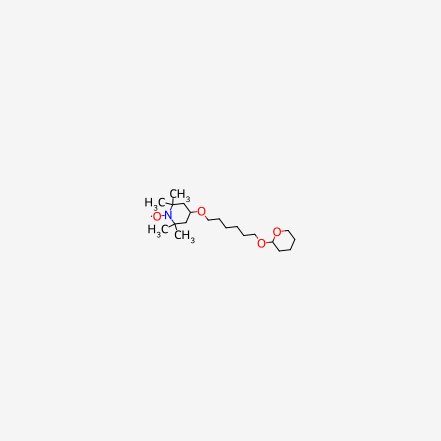 CC1(C)CC(OCCCCCCOC2CCCCO2)CC(C)(C)N1[O]